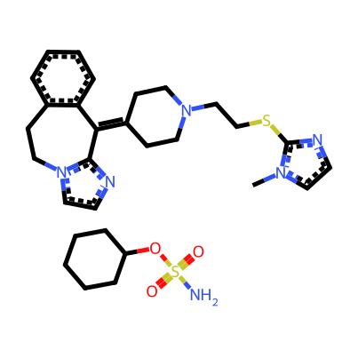 Cn1ccnc1SCCN1CCC(=C2c3ccccc3CCn3ccnc32)CC1.NS(=O)(=O)OC1CCCCC1